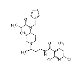 Cc1cc(Cl)nc(Cl)c1C(=O)NCC[C@@H](C)N1CCC(N(Cc2ccsc2)C(=O)C(C)C)CC1